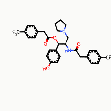 O=C(Cc1ccc(C(F)(F)F)cc1)N[C@H](CN1CCCC1)[C@H](OC(=O)Cc1ccc(C(F)(F)F)cc1)c1ccc(O)cc1